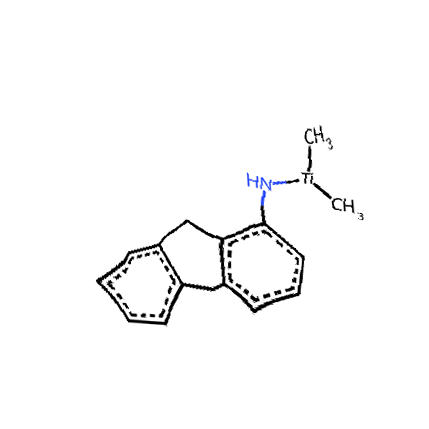 [CH3][Ti]([CH3])[NH]c1cccc2c1Cc1ccccc1-2